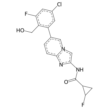 O=C(Nc1cn2cc(-c3cc(Cl)cc(F)c3CO)ccc2n1)C1CC1F